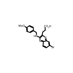 COc1ccc(CNc2nc3ccc(Br)cc3nc2CCC(=O)O)cc1